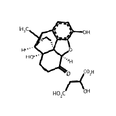 CN1CC[C@]23c4c5ccc(O)c4O[C@H]2C(=O)CC[C@@]3(O)[C@H]1C5.O=C(O)CC(O)C(=O)O